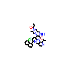 C=CC(=O)N1CC2CNc3c(c4cc(F)c(-c5cccc6cccc(Cl)c56)nc4n(-c4c(C)ccnc4C(C)C)c3=O)N2CC1C